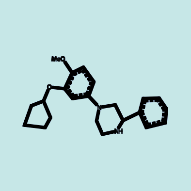 COc1ccc(N2CCNC(c3ccccc3)C2)cc1OC1CCCC1